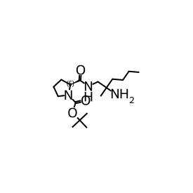 CCCCC(C)(N)CNC(=O)[C@@H]1CCCN1C(=O)OC(C)(C)C